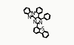 c1ccc(-c2nc(-c3cccc4c3sc3ccccc34)nc3c2c2ccccc2n2c4ccccc4nc32)cc1